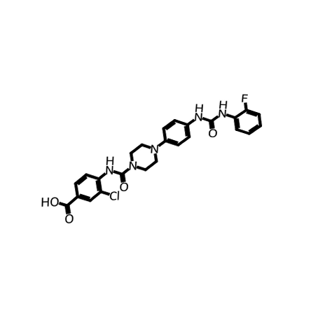 O=C(Nc1ccc(N2CCN(C(=O)Nc3ccc(C(=O)O)cc3Cl)CC2)cc1)Nc1ccccc1F